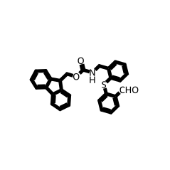 O=Cc1ccccc1Sc1ccccc1CNC(=O)OCC1c2ccccc2-c2ccccc21